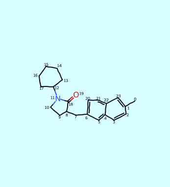 Cc1ccc2cc(CC3CCN(C4CCCCC4)C3=O)ccc2c1